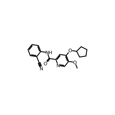 COc1cnc(C(=O)Nc2ccccc2C#N)cc1OC1CCCC1